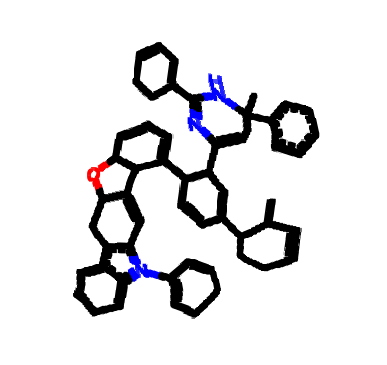 CC1C=CCCC1C1=CC(C2=CC(C)(c3ccccc3)NC(C3=CC=CCC3)=N2)C(C2=CC=CC3OC4Cc5c(n(C6=CCCC=C6)c6c5=CCCC=6)C=C4C23)C=C1